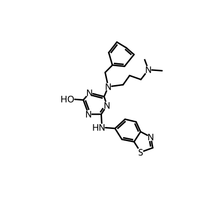 CN(C)CCCN(Cc1ccccc1)c1nc(O)nc(Nc2ccc3ncsc3c2)n1